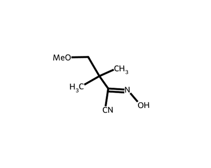 COCC(C)(C)C(C#N)=NO